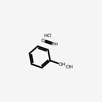 Cl.Cl.O=P.Oc1ccccc1